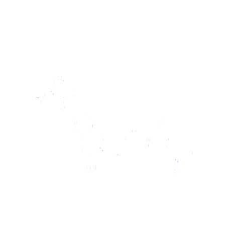 CN(C)C(=O)Oc1ccc2c(c1)CCN(C)C2CCOc1ccc([N+](=O)[O-])cc1Cl.Cl